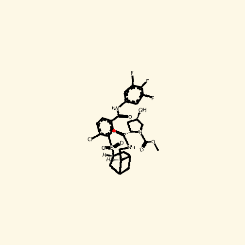 COC(=O)N1C[C@H](O)C[C@H]1C(=O)NC[C@]1(O)C2CC1C[C@@H](S(=O)(=O)c1cc(C(=O)Nc3cc(F)c(F)c(F)c3)ccc1Cl)C2